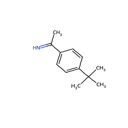 CC(=N)c1ccc(C(C)(C)C)cc1